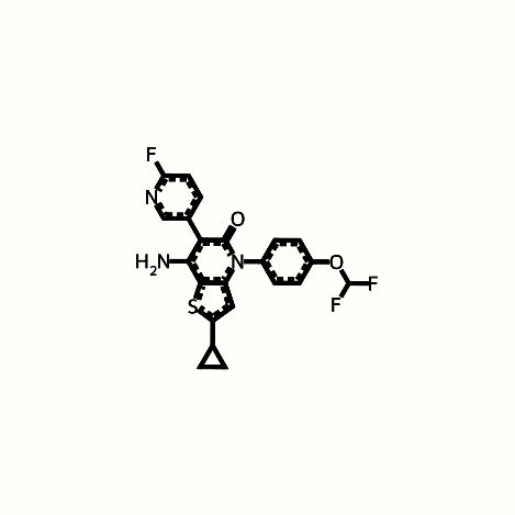 Nc1c(-c2ccc(F)nc2)c(=O)n(-c2ccc(OC(F)F)cc2)c2cc(C3CC3)sc12